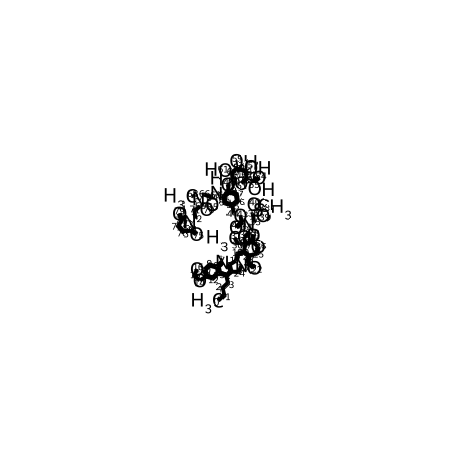 CCCCc1c2c(nc3cc4c(cc13)OCO4)-c1cc3c(c(=O)n1C2)COC(=O)[C@@]3(CC)OCN(CCS(C)(=O)=O)C(=O)OCc1ccc(O[C@@H]2O[C@H](C(=O)O)[C@@H](O)[C@H](O)[C@H]2O)c(NC(=O)CN(C)C(=O)CCN2C(=O)C=CC2=O)c1